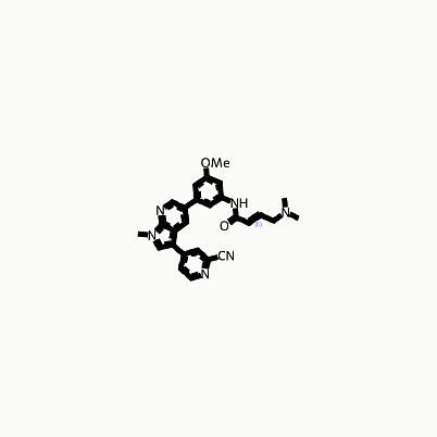 COc1cc(NC(=O)/C=C/CN(C)C)cc(-c2cnc3c(c2)c(-c2ccnc(C#N)c2)cn3C)c1